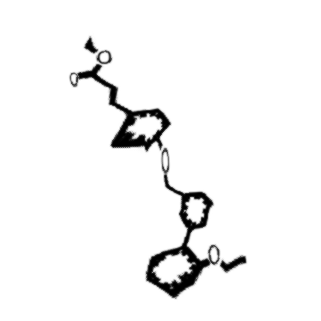 CCOc1ccccc1-c1cccc(COc2ccc(CCC(=O)OC)cc2)c1